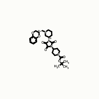 CC(C)(C)OC(=O)N1CCC(N2C(=O)C(=O)N([C@H]3CCCN(C[C@H]4COc5ccccc5O4)C3)C2=O)CC1